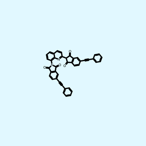 O=C1c2ccc(C#Cc3ccccc3)cc2C(=O)C1c1ccc2cccc(N3C(=O)c4ccc(C#Cc5ccccc5)cc4C3=O)c2n1